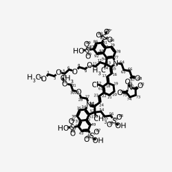 COCCOCCOCCOCCC1(C)/C(=C\C=C2/CCCC(/C=C/C3=[N+](CCOCCOC)c4ccc5c(S(=O)(=O)O)cc(S(=O)(=O)O)cc5c4C3(C)CCCS(=O)(=O)O)=C2Cl)N(CCCC(=O)ON2C(=O)CCC2=O)c2ccc3c(S(=O)(=O)[O-])cc(S(=O)(=O)O)cc3c21